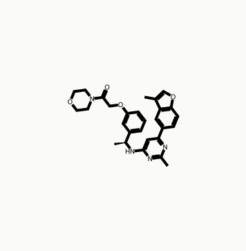 Cc1nc(N[C@@H](C)c2cccc(OCC(=O)N3CCOCC3)c2)cc(-c2ccc3occ(C)c3c2)n1